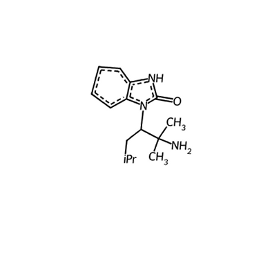 CC(C)CC(n1c(=O)[nH]c2ccccc21)C(C)(C)N